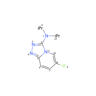 CC(C)N(c1nnc2ccc(F)cn12)C(C)C